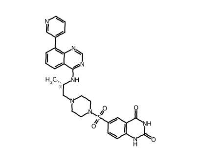 C[C@@H](CN1CCN(S(=O)(=O)c2ccc3[nH]c(=O)[nH]c(=O)c3c2)CC1)Nc1ncnc2c(-c3cccnc3)cccc12